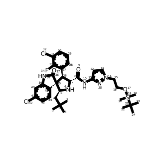 CC(C)(C)C[C@@H]1N[C@@H](C(=O)Nc2ccn(CCO[Si](C)(C)C(C)(C)C)n2)[C@H](c2cccc(Cl)c2F)[C@]12C(=O)Nc1cc(Cl)ccc12